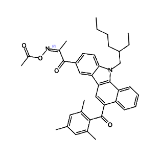 CCCCC(CC)Cn1c2ccc(C(=O)/C(C)=N\OC(C)=O)cc2c2cc(C(=O)c3c(C)cc(C)cc3C)c3ccccc3c21